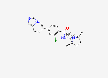 N#CN1[C@H]2CC[C@@H]1[C@H](NC(=O)c1ccc(-c3ccc4cncn4c3)cc1F)C2